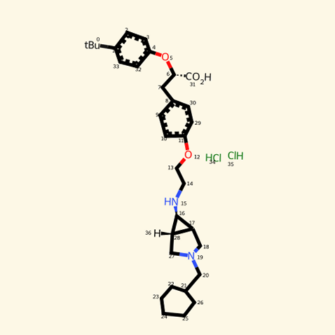 CC(C)(C)c1ccc(O[C@@H](Cc2ccc(OCCN[C@H]3C4CN(CC5CCCCC5)C[C@@H]43)cc2)C(=O)O)cc1.Cl.Cl